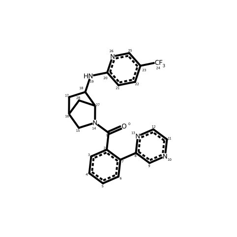 O=C(c1ccccc1-c1cnccn1)N1CC2CC(Nc3ccc(C(F)(F)F)cn3)C1C2